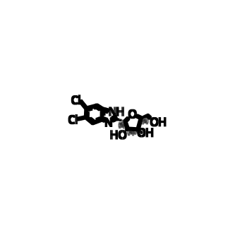 OC[C@@H]1O[C@@H](c2nc3cc(Cl)c(Cl)cc3[nH]2)[C@H](O)[C@H]1O